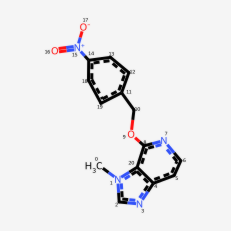 Cn1cnc2ccnc(OCc3ccc([N+](=O)[O-])cc3)c21